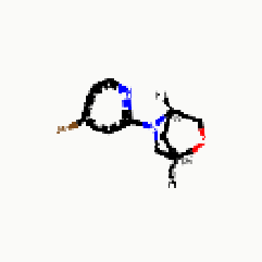 Brc1ccnc(N2C[C@@H]3C[C@H]2CO3)c1